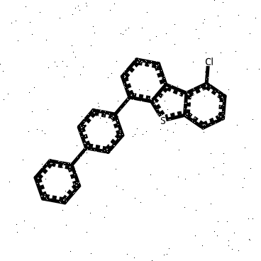 Clc1cccc2sc3c(-c4ccc(-c5ccccc5)cc4)cccc3c12